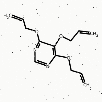 C=CCOc1ncnc(OCC=C)c1OCC=C